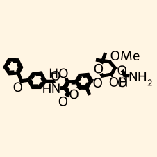 CO[C@@H]1[C@@H](OC(N)=O)[C@@H](O)[C@H](Oc2ccc3c(O)c(NC(=O)c4ccc(C(=O)c5ccccc5)cc4)c(=O)oc3c2C)OC1(C)C